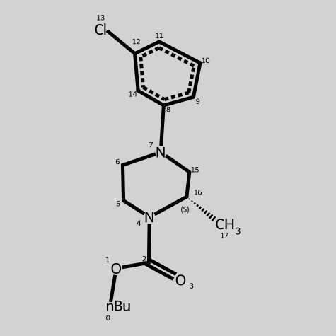 CCCCOC(=O)N1CCN(c2cccc(Cl)c2)C[C@@H]1C